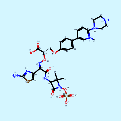 C[n+]1cc(-c2ccc(OC[C@H](O/N=C(\C(=O)NC3C(=O)N(OS(=O)(=O)[O-])C3(C)C)c3csc(N)n3)C(=O)O)cc2)ccc1N1CCNCC1